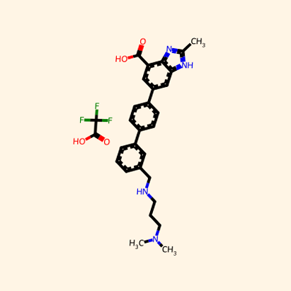 Cc1nc2c(C(=O)O)cc(-c3ccc(-c4cccc(CNCCCN(C)C)c4)cc3)cc2[nH]1.O=C(O)C(F)(F)F